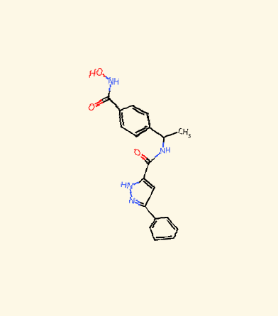 CC(NC(=O)c1cc(-c2ccccc2)n[nH]1)c1ccc(C(=O)NO)cc1